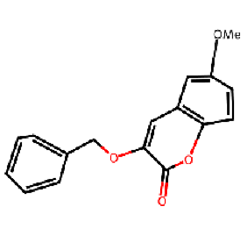 COc1ccc2oc(=O)c(OCc3ccccc3)cc2c1